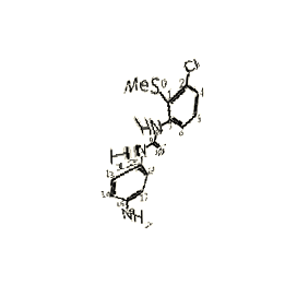 CSc1c(Cl)cccc1NC(=S)Nc1ccc(N)cc1